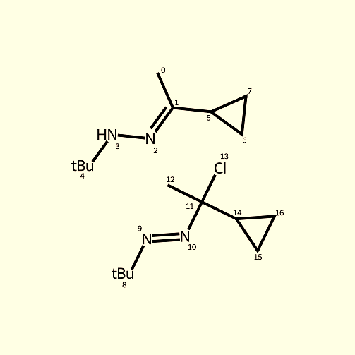 CC(=NNC(C)(C)C)C1CC1.CC(C)(C)N=NC(C)(Cl)C1CC1